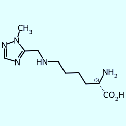 Cn1ncnc1CNCCCC[C@H](N)C(=O)O